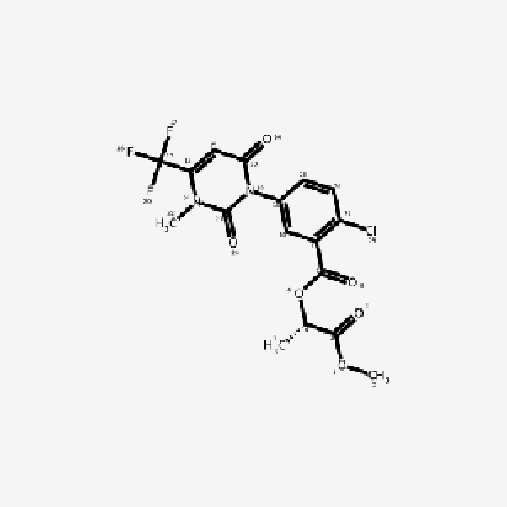 COC(=O)[C@H](C)OC(=O)c1cc(-n2c(=O)cc(C(F)(F)F)n(C)c2=O)ccc1Cl